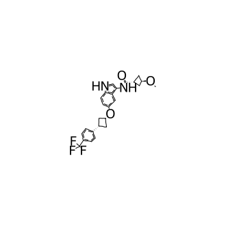 CO[C@H]1C[C@H](C(=O)Nc2c[nH]c3ccc(O[C@H]4C[C@@H](c5ccc(C(F)(F)F)cc5)C4)cc23)C1